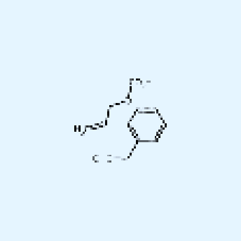 C=CCOC(=O)O.O=CCc1ccccc1